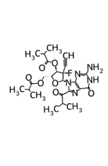 C#C[C@@]1(F)[C@H](OC(=O)C(C)C)[C@@H](COC(=O)C(C)C)O[C@@H]1n1c(C(=O)C(C)C)nc2c(=O)[nH]c(N)nc21